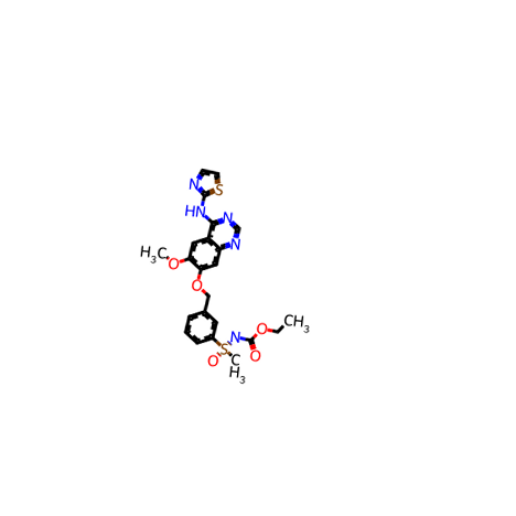 CCOC(=O)N=S(C)(=O)c1cccc(COc2cc3ncnc(Nc4nccs4)c3cc2OC)c1